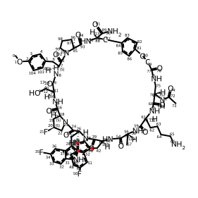 COc1ccc(C[C@@H]2NC(=O)[C@H]([C@@H](C)O)NC(=O)[C@@H]3C[C@H](F)CN3C(=O)[C@H](Cc3c[nH]c4ccc(F)cc34)NC(=O)[C@H](Cc3c[nH]c4ccc(F)cc34)NC(=O)[C@@H](C)NC(=O)[C@H](CCCCN)NC(=O)[C@@H](NC(C)=O)CNC(=O)COc3ccc(cc3)C[C@@H](C(N)=O)NC(=O)[C@]3(C)CCCN3C2=O)cc1